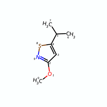 COc1cc(C(C)C)sn1